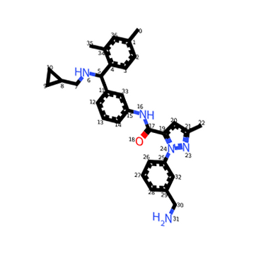 Cc1ccc(C(NCC2CC2)c2cccc(NC(=O)c3cc(C)nn3-c3cccc(CN)c3)c2)c(C)c1